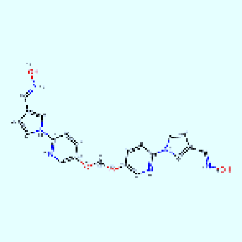 ON=Cc1ccn(-c2ccc(OBOc3ccc(-n4ccc(C=NO)c4)nc3)cn2)c1